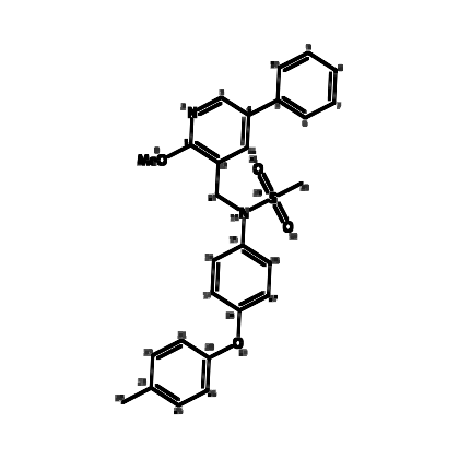 COc1ncc(-c2ccccc2)cc1CN(c1ccc(Oc2ccc(C)cc2)cc1)S(C)(=O)=O